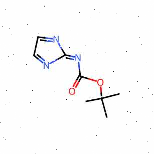 CC(C)(C)OC(=O)N=C1N=CC=N1